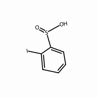 O=S(O)c1ccccc1I